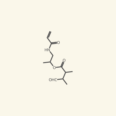 C=CC(=O)NCC(C)OC(=O)C(C)C(C)C=O